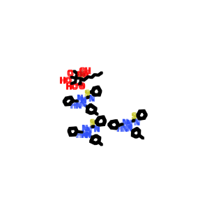 CCCCCCC(C(=O)O)(C(CC)(CC)C(=O)O)S(=O)(=O)O.Cc1ccc(N2NC(c3ccccc3)=NN2c2nc3ccccc3s2)cc1.Cc1ccc(N2NC(c3ccccc3)=NN2c2nc3ccccc3s2)cc1.Cc1ccc(N2NC(c3ccccc3)=NN2c2nc3ccccc3s2)cc1